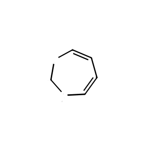 C1=COCSC=C1